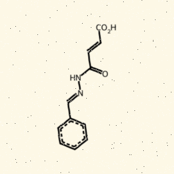 O=C(O)C=CC(=O)NN=Cc1ccccc1